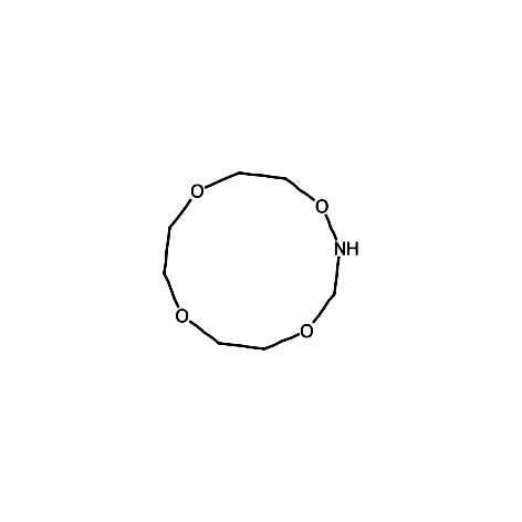 C1COCCONCOCCO1